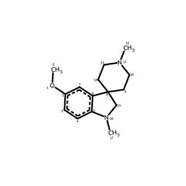 COc1ccc2c(c1)C1(CCN(C)CC1)CN2C